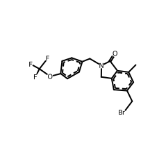 Cc1cc(CBr)cc2c1C(=O)N(Cc1ccc(OC(F)(F)F)cc1)C2